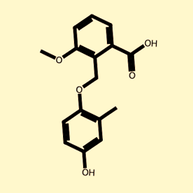 COc1cccc(C(=O)O)c1COc1ccc(O)cc1C